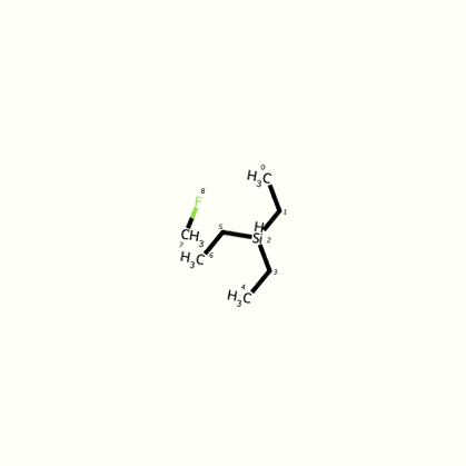 CC[SiH](CC)CC.CF